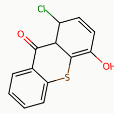 O=C1c2ccccc2SC2=C(O)C=CC(Cl)C12